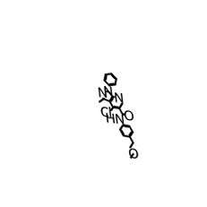 COCCc1ccc(NC(=O)c2cnc3c(c(C)nn3-c3ccccc3)c2Cl)cc1